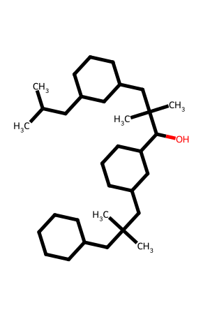 CC(C)CC1CCCC(CC(C)(C)C(O)C2CCCC(CC(C)(C)CC3CCCCC3)C2)C1